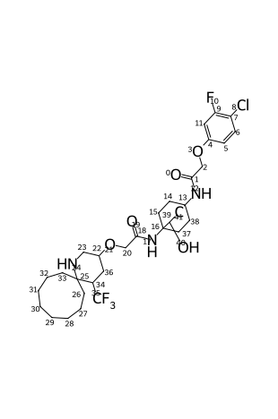 O=C(COc1ccc(Cl)c(F)c1)NC12CCC(NC(=O)COC3CNC4(CCCCCCCC4)C(C(F)(F)F)C3)(CC1)C(O)C2